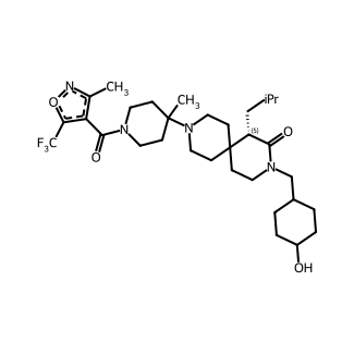 Cc1noc(C(F)(F)F)c1C(=O)N1CCC(C)(N2CCC3(CCN(CC4CCC(O)CC4)C(=O)[C@H]3CC(C)C)CC2)CC1